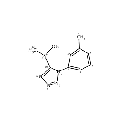 Cc1cccc(-n2nnnc2[S+](C)[O-])c1